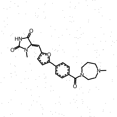 CN1CCCN(C(=O)c2ccc(-c3ccc(/C=C4/C(=O)NC(=O)N4C)o3)cc2)CC1